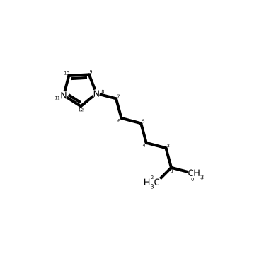 CC(C)CCCCCn1ccnc1